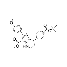 COC(=O)c1c(-c2ccc(OC)cc2)nc2n1NCCC2C1CCN(C(=O)OC(C)(C)C)CC1